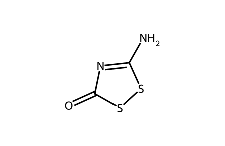 Nc1nc(=O)ss1